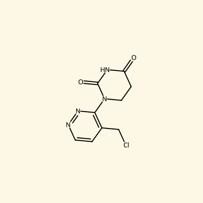 O=C1CCN(c2nnccc2CCl)C(=O)N1